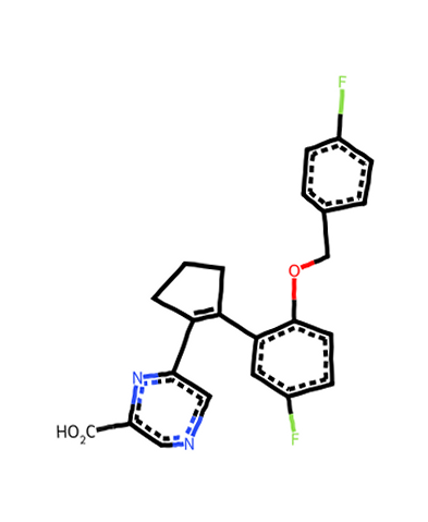 O=C(O)c1cncc(C2=C(c3cc(F)ccc3OCc3ccc(F)cc3)CCC2)n1